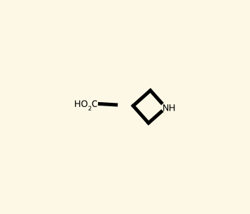 C1CNC1.CC(=O)O